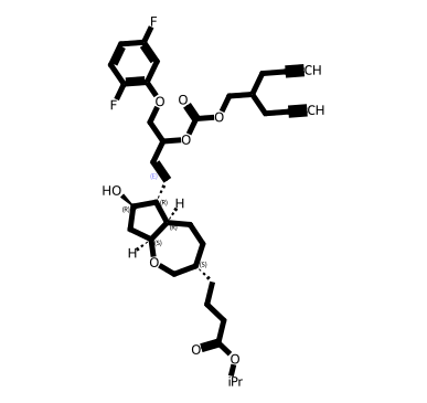 C#CCC(CC#C)COC(=O)OC(/C=C/[C@@H]1[C@H]2CC[C@H](CCCC(=O)OC(C)C)CO[C@H]2C[C@H]1O)COc1cc(F)ccc1F